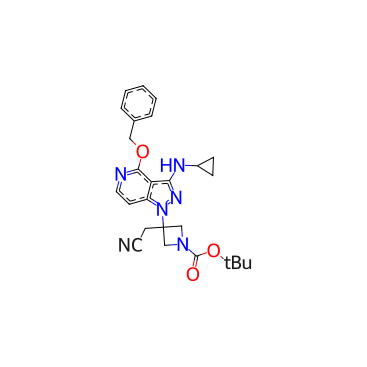 CC(C)(C)OC(=O)N1CC(CC#N)(n2nc(NC3CC3)c3c(OCc4ccccc4)nccc32)C1